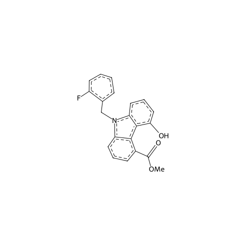 COC(=O)c1cccc2c1c1c(O)cccc1n2Cc1ccccc1F